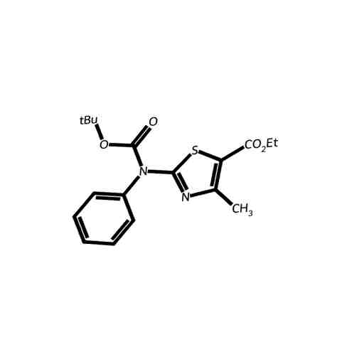 CCOC(=O)c1sc(N(C(=O)OC(C)(C)C)c2ccccc2)nc1C